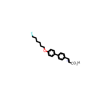 O=C(O)/C=C/c1ccc(-c2ccc(OCCCCCCF)cc2)cc1